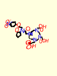 O=C(O)CN1CCN(CC(=O)O)CCN(CC(=O)N(CC(=O)Oc2ccc([N+](=O)[O-])cc2)C2CCCC2)CCN(CC(=O)O)CC1